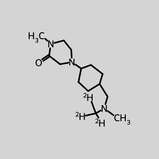 [2H]C([2H])([2H])N(C)CC1CCC(N2CCN(C)C(=O)C2)CC1